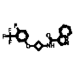 O=C(NC1CC(Oc2ccc(F)c(C(F)(F)F)c2)C1)c1cnn2ccccc12